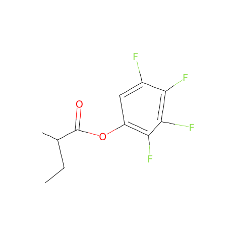 CCC(C)C(=O)Oc1cc(F)c(F)c(F)c1F